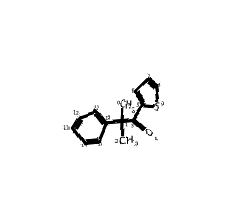 CC(C)(C(=O)c1cccs1)c1ccccc1